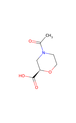 CC(=O)N1CCO[C@@H](C(=O)O)C1